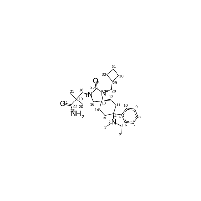 CCN(C)[C@]1(c2ccccc2)CC[C@@]2(CC1)CN(CC(C)(C)C(N)=O)C(=O)N2CC1CCC1